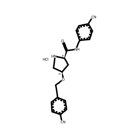 Cl.N#Cc1ccc(CO[C@H]2CN[C@@H](C(=O)Nc3ccc(C#N)cc3)C2)cc1